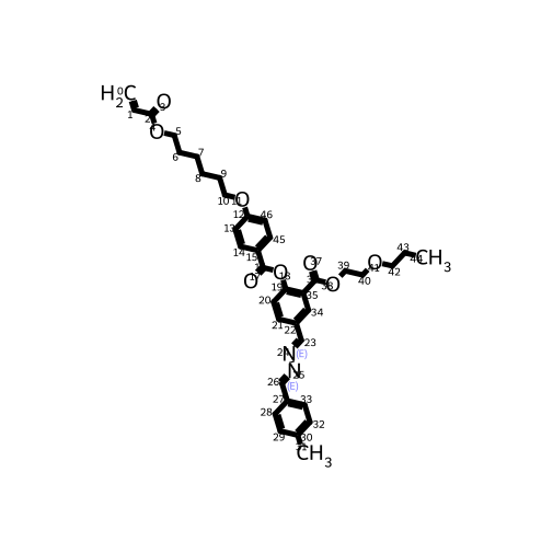 C=CC(=O)OCCCCCCOc1ccc(C(=O)Oc2ccc(/C=N/N=C/c3ccc(C)cc3)cc2C(=O)OCCOCCC)cc1